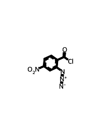 [N-]=[N+]=Nc1cc([N+](=O)[O-])ccc1C(=O)Cl